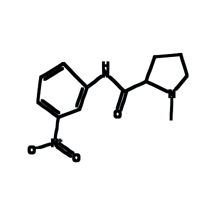 CN1CCCC1C(=O)Nc1cccc([N+](=O)[O-])c1